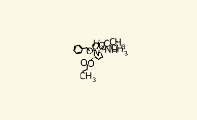 CCCC(=O)OC[C@H]1CC[C@@H](C(=O)NC(C)(C)C)N1C(=O)OCc1ccccc1